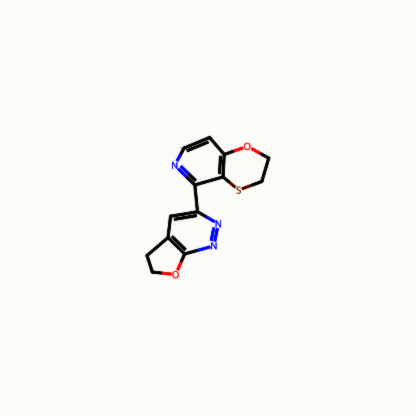 [c]1cc2c(c(-c3cc4c(nn3)OCC4)n1)SCCO2